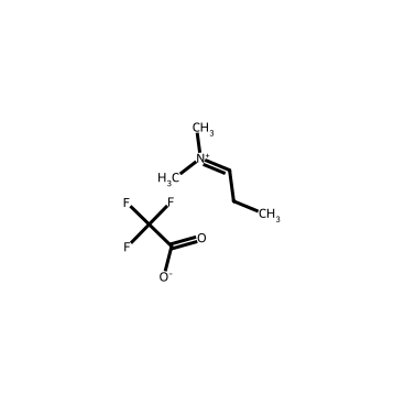 CCC=[N+](C)C.O=C([O-])C(F)(F)F